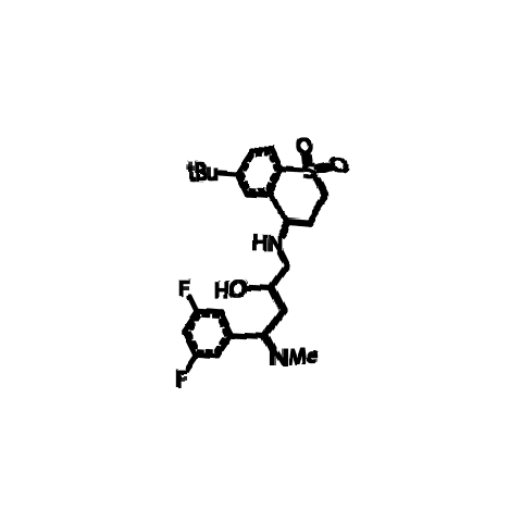 CNC(CC(O)CNC1CCS(=O)(=O)c2ccc(C(C)(C)C)cc21)c1cc(F)cc(F)c1